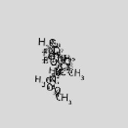 CCOC(=O)CN(C)CCN1CC(C(=O)Nc2ccc(C)nc2OC(F)F)(c2ccccc2C(C)C)C1